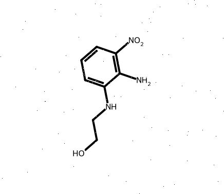 Nc1c(NCCO)cccc1[N+](=O)[O-]